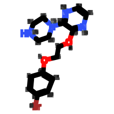 Brc1ccc(OCCOc2nccnc2N2CCNCC2)cc1